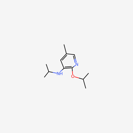 Cc1cnc(OC(C)C)c(NC(C)C)c1